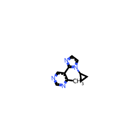 Cc1ncncc1-c1nccn1C1CC1